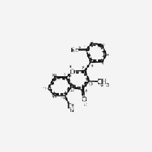 CCc1ccccc1-c1oc2cccc(CC)c2c(=O)c1C